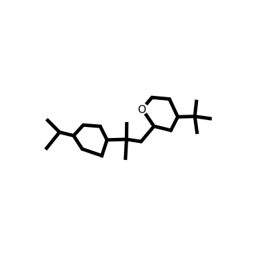 CC(C)C1CCC(C(C)(C)CC2CC(C(C)(C)C)CCO2)CC1